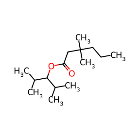 CCCC(C)(C)CC(=O)OC(C(C)C)C(C)C